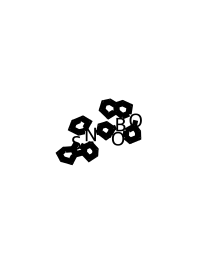 c1ccc(N(c2ccc3c(c2)Oc2cccc4c2B3c2c(ccc3ccccc23)O4)c2cccc3c2sc2ccccc23)cc1